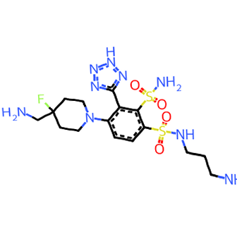 NCCCNS(=O)(=O)c1ccc(N2CCC(F)(CN)CC2)c(-c2nn[nH]n2)c1S(N)(=O)=O